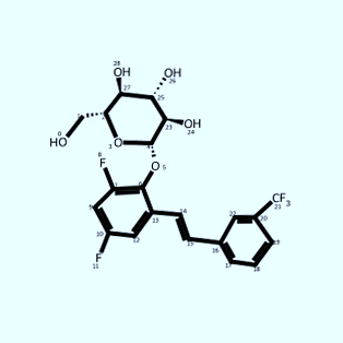 OC[C@H]1O[C@@H](Oc2c(F)cc(F)cc2/C=C/c2cccc(C(F)(F)F)c2)[C@H](O)[C@@H](O)[C@@H]1O